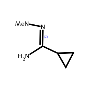 CN/N=C(\N)C1CC1